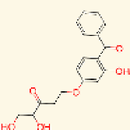 O=C(c1ccccc1)c1ccc(OCCC(=O)C(O)CO)cc1O